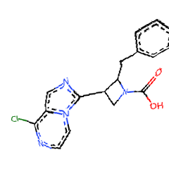 O=C(O)N1CC(c2ncc3c(Cl)nccn23)C1Cc1ccccc1